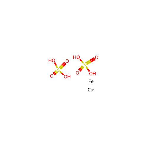 O=S(=O)(O)O.O=S(=O)(O)O.[Cu].[Fe]